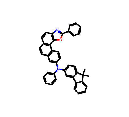 CC1(C)c2ccccc2-c2cc(N(c3ccccc3)c3ccc4c(ccc5ccc6nc(-c7ccccc7)oc6c54)c3)ccc21